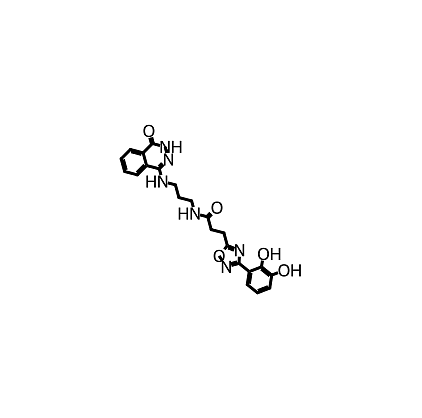 O=C(CCc1nc(-c2cccc(O)c2O)no1)NCCCNc1n[nH]c(=O)c2ccccc12